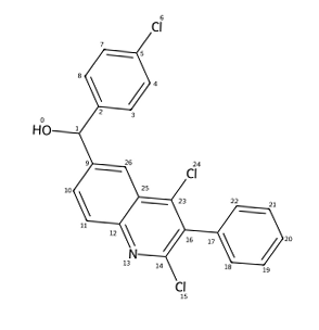 OC(c1ccc(Cl)cc1)c1ccc2nc(Cl)c(-c3ccccc3)c(Cl)c2c1